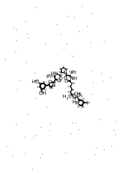 CC(C)[C@H](NC(=O)[C@@H]1CCCN1C(=O)[C@@H](NC(=O)CCCCC(C)(C)NC(=O)c1cc(I)ccn1)C(C)C)C(=O)c1nnc(-c2cc(O)cc(O)c2)o1